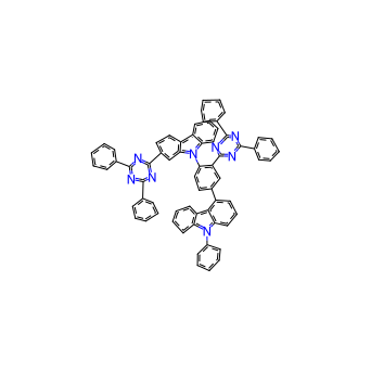 c1ccc(-c2nc(-c3ccccc3)nc(-c3ccc4c5ccccc5n(-c5ccc(-c6cccc7c6c6ccccc6n7-c6ccccc6)cc5-c5nc(-c6ccccc6)nc(-c6ccccc6)n5)c4c3)n2)cc1